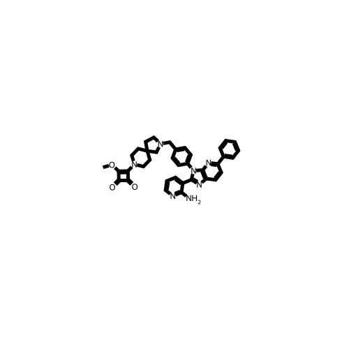 COc1c(N2CCC3(CCN(Cc4ccc(-n5c(-c6cccnc6N)nc6ccc(-c7ccccc7)nc65)cc4)C3)CC2)c(=O)c1=O